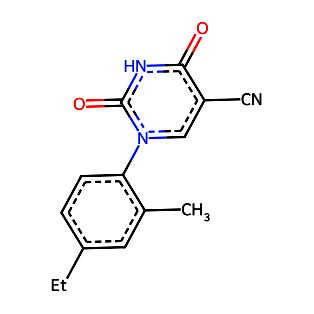 CCc1ccc(-n2cc(C#N)c(=O)[nH]c2=O)c(C)c1